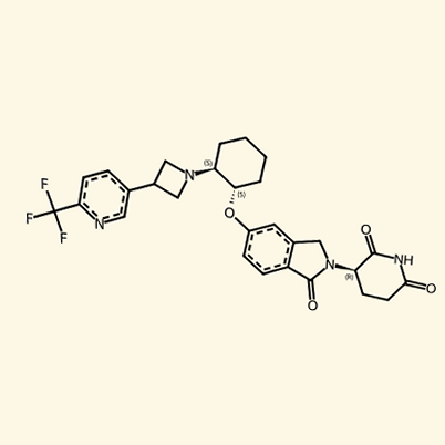 O=C1CC[C@@H](N2Cc3cc(O[C@H]4CCCC[C@@H]4N4CC(c5ccc(C(F)(F)F)nc5)C4)ccc3C2=O)C(=O)N1